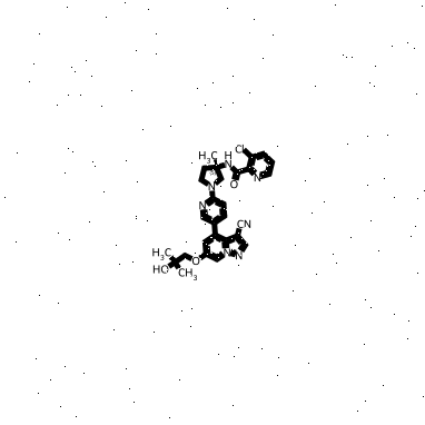 CC(C)(O)COc1cc(-c2ccc(N3CC[C@](C)(NC(=O)c4ncccc4Cl)C3)nc2)c2c(C#N)cnn2c1